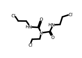 O=C(NCCCl)N(CCCl)C(=O)NCCCl